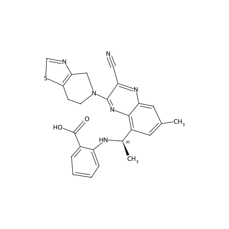 Cc1cc([C@@H](C)Nc2ccccc2C(=O)O)c2nc(N3CCc4scnc4C3)c(C#N)nc2c1